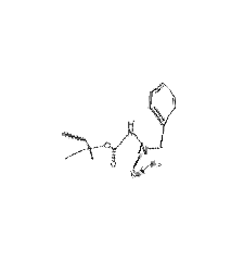 CC(C)(C)OC(=O)NN(N)Cc1ccccc1